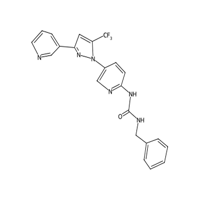 O=C(NCc1ccccc1)Nc1ccc(-n2nc(-c3cccnc3)cc2C(F)(F)F)cn1